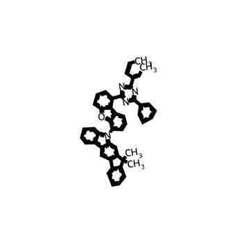 C/C=C\C(=C/C)c1nc(-c2ccccc2)nc(-c2cccc3oc4c(-n5c6ccccc6c6cc7c(cc65)C(C)(C)c5ccccc5-7)cccc4c23)n1